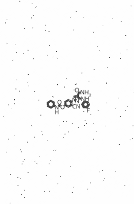 N#C[C@@H]1C[C@@H](OC(=O)NC2CCCCC2)CC[C@H]1n1cc(C(N)=O)c(Nc2ccc(F)cc2)n1